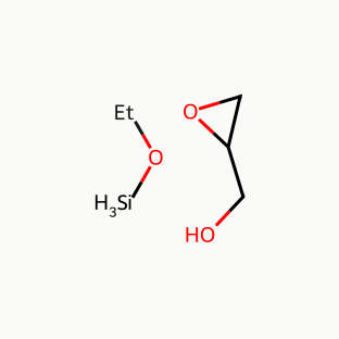 CCO[SiH3].OCC1CO1